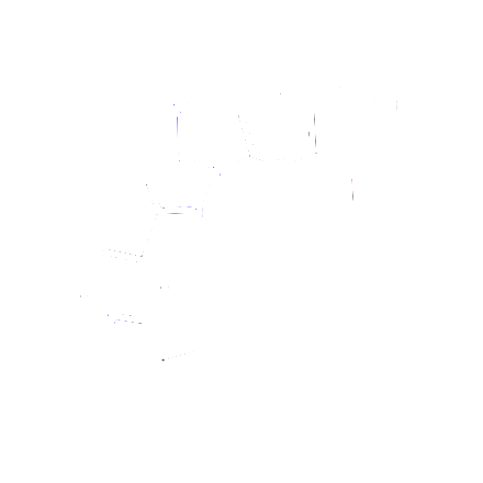 COc1cc2c(cc1OC)-n1nc(-c3ccnc(C(F)(F)F)c3)cc1N(C)C2